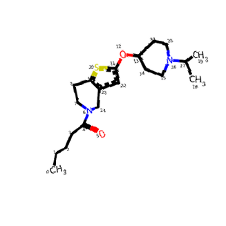 CCCCC(=O)N1CCc2sc(OC3CCN(C(C)C)CC3)cc2C1